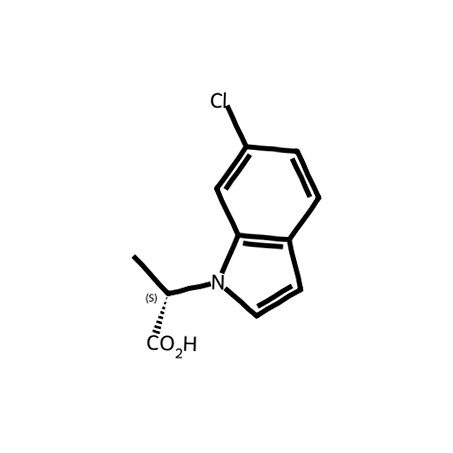 C[C@@H](C(=O)O)n1ccc2ccc(Cl)cc21